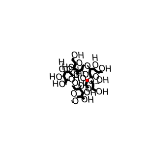 CO[C@@H]1OC(CO)[C@@H](O[C@H](OC(CO)[C@@H](CO)O[C@H]2OC(CO)[C@H](O)[C@H](O[C@@H]3OC(CO)[C@H](O)C(O[C@@H]4OC(CO)[C@H](O)C(O)[C@@H]4O)[C@@H]3C)C2O)[C@H](C)O)[C@H](O)C1O